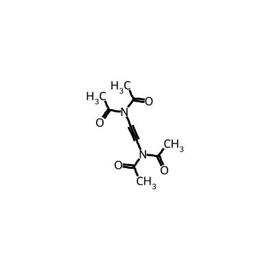 CC(=O)N(C#CN(C(C)=O)C(C)=O)C(C)=O